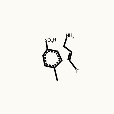 Cc1ccc(S(=O)(=O)O)cc1.NCC=CF